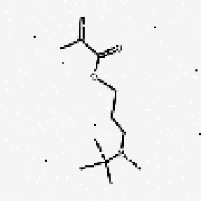 C=C(C)C(=O)OCCCN(C)C(C)(C)C